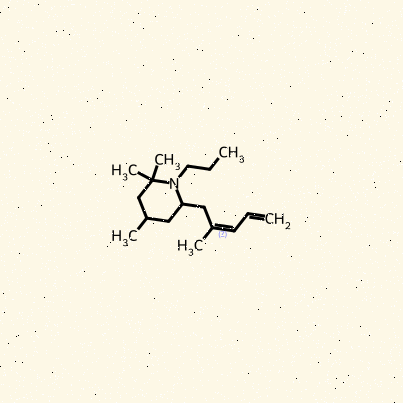 C=C/C=C(/C)CC1CC(C)CC(C)(C)N1CCC